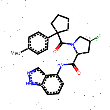 COc1ccc(C2(C(=O)N3C[C@@H](F)CC3C(=O)Nc3cccc4[nH]ncc34)CCCC2)cc1